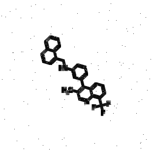 Cc1cnc2c(C(F)(F)F)cccc2c1-c1cccc(NCc2cccc3ccccc23)c1